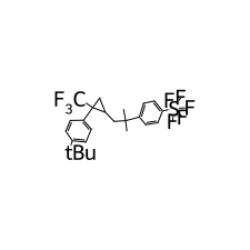 CC(C)(C)c1ccc(C2(C(F)(F)F)CC2CC(C)(C)c2ccc(S(F)(F)(F)(F)F)cc2)cc1